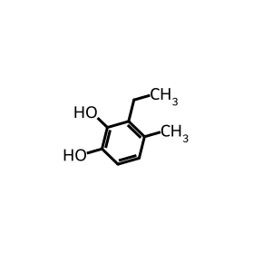 CCc1c(C)ccc(O)c1O